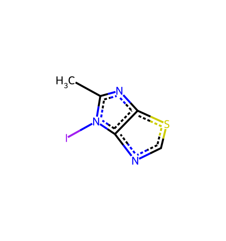 Cc1nc2scnc2n1I